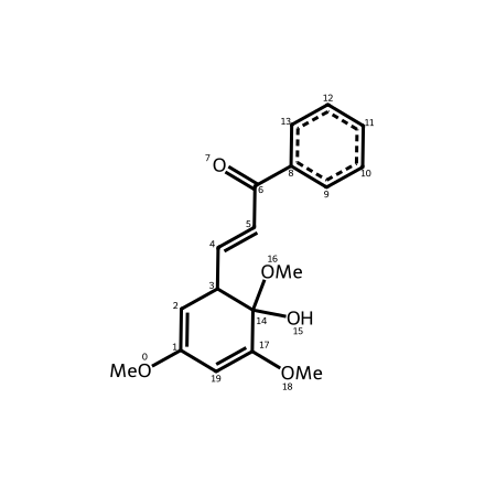 COC1=CC(C=CC(=O)c2ccccc2)C(O)(OC)C(OC)=C1